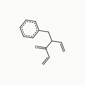 C=CC(=O)C(C=C)Cc1ccccc1